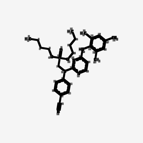 CCCCOP(=O)(CN(c1ccc(C#N)cc1)c1nccc(Nc2c(C)cc(C)cc2C)n1)OCCCC